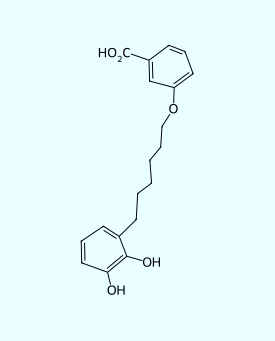 O=C(O)c1cccc(OCCCCCCc2cccc(O)c2O)c1